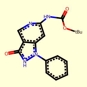 CC(C)(C)OC(=O)Nc1cc2c(cn1)c(=O)[nH]n2-c1ccccc1